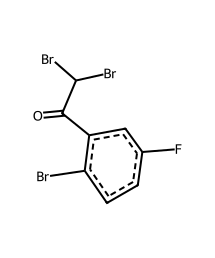 O=C(c1cc(F)ccc1Br)C(Br)Br